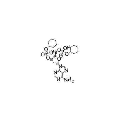 Nc1ncnc2c1ncn2[C@H]1C[C@H](OP(=O)(O)OC2CCCCC2)[C@@H](COP(=O)(O)OC2CCCCC2)O1